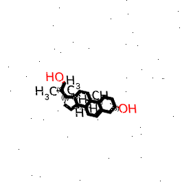 C[C@H](CO)[C@H]1CC[C@H]2[C@@H]3CC=C4C[C@@H](O)CC[C@]4(C)[C@H]3CC[C@]12C